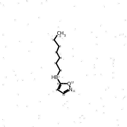 CCCCCCCBc1ccno1